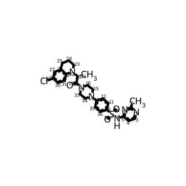 Cc1nccc(NS(=O)(=O)c2ccc(N3CCN(C(=O)[C@@H](C)N4CCCc5cc(Cl)ccc54)CC3)cc2)n1